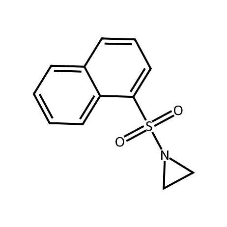 O=S(=O)(c1cccc2ccccc12)N1CC1